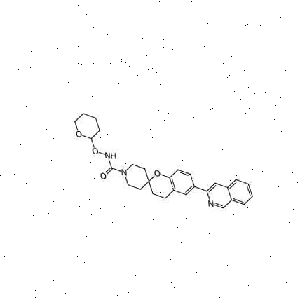 O=C(NOC1CCCCO1)N1CCC2(CCc3cc(-c4cc5ccccc5cn4)ccc3O2)CC1